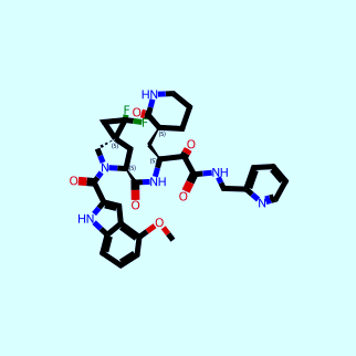 COc1cccc2[nH]c(C(=O)N3C[C@]4(C[C@H]3C(=O)N[C@@H](C[C@@H]3CCCNC3=O)C(=O)C(=O)NCc3ccccn3)CC4(F)F)cc12